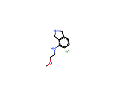 COCCNc1cccc2c1CNC2.Cl